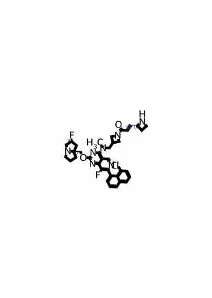 CN(CC1CN(C(=O)/C=C/[C@H]2CCN2)C1)c1nc(OC[C@@]23CCCN2C[C@H](F)C3)nc2c(F)c(-c3cccc4cccc(Cl)c34)ncc12